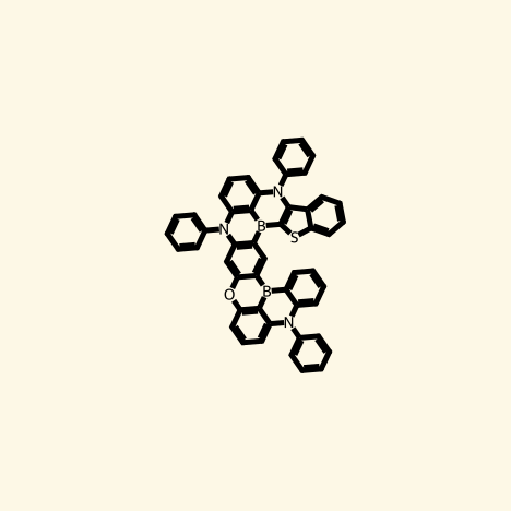 c1ccc(N2c3ccccc3B3c4cc5c(cc4Oc4cccc2c43)N(c2ccccc2)c2cccc3c2B5c2sc4ccccc4c2N3c2ccccc2)cc1